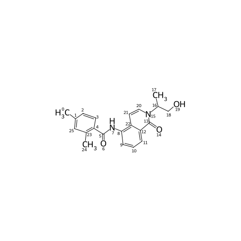 Cc1ccc(C(=O)Nc2cccc3c(=O)n(C(C)CO)ccc23)c(C)c1